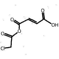 O=C(O)/C=C/C(=O)OC(=O)CCl